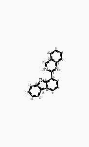 c1ccc2nc(-c3cccc4c3oc3ccccc34)ncc2c1